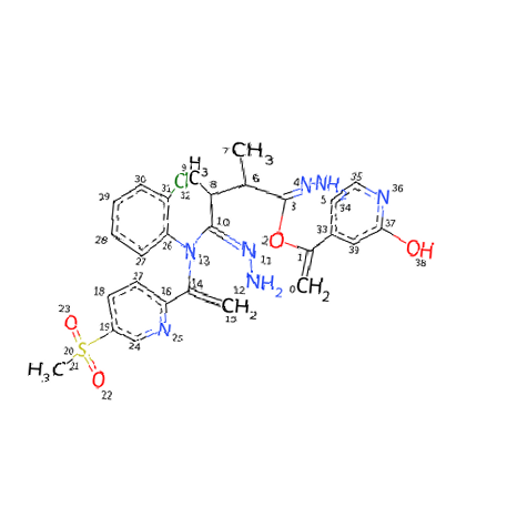 C=C(O/C(=N\N)C(C)C(C)/C(=N/N)N(C(=C)c1ccc(S(C)(=O)=O)cn1)c1ccccc1Cl)c1ccnc(O)c1